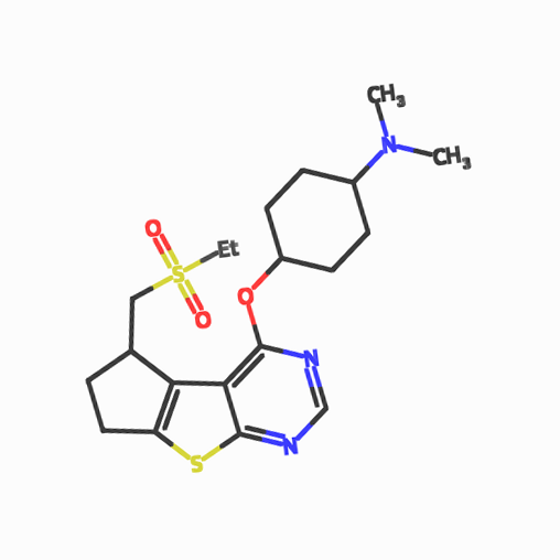 CCS(=O)(=O)CC1CCc2sc3ncnc(OC4CCC(N(C)C)CC4)c3c21